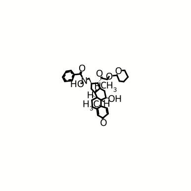 C[C@]12C[C@H](O)[C@H]3[C@@H](CCC4=CC(=O)C=C[C@@]43C)[C@@H]1C[C@@H](CN(O)C(=O)c1ccccc1)[C@@H]2C(=O)COC1CCCCO1